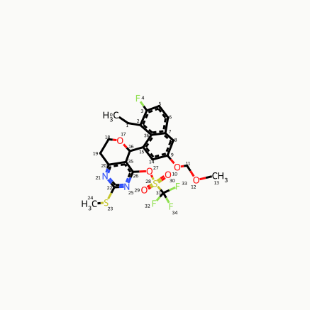 CCc1c(F)ccc2cc(OCOC)cc(C3OCCc4nc(SC)nc(OS(=O)(=O)C(F)(F)F)c43)c12